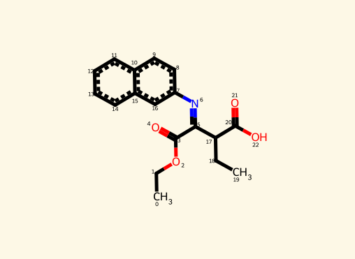 CCOC(=O)C(=Nc1ccc2ccccc2c1)C(CC)C(=O)O